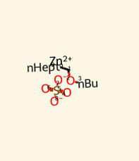 CCCCCCCCOCCCC.O=S(=O)([O-])[O-].[Zn+2]